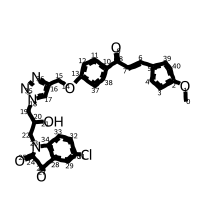 COc1ccc(/C=C/C(=O)c2ccc(OCc3cn(CC(O)CN4C(=O)C(=O)c5cc(Cl)ccc54)nn3)cc2)cc1